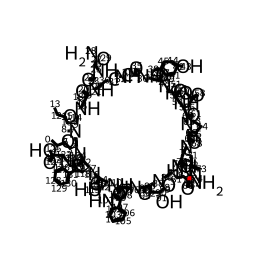 CCCC[C@H]1C(=O)N(C)[C@@H](CCCC)C(=O)N[C@@H](C)C(=O)N[C@H](C(=O)NCC(N)=O)CCNCC(=O)N[C@@H](Cc2ccc(O)cc2)C(=O)N(C)[C@@H](C)C(=O)N[C@@H](CC(=O)O)C(=O)N2CCC[C@H]2C(=O)N[C@@H](Cc2cnc[nH]2)C(=O)N[C@@H](CCC(N)=O)C(=O)N2C[C@H](O)CC2C(=O)N[C@@H](Cc2c[nH]c3ccccc23)C(=O)N[C@@H](CO)C(=O)N[C@@H](Cc2cn(CC(=O)O)c3ccccc23)C(=O)N1C